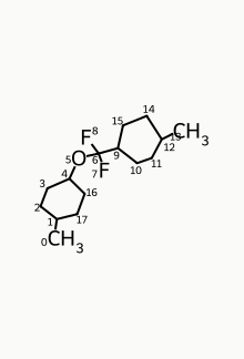 CC1CCC(OC(F)(F)C2CCC(C)CC2)CC1